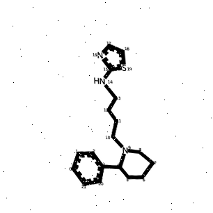 c1ccc(C2CCCCN2CCCCNc2nccs2)cc1